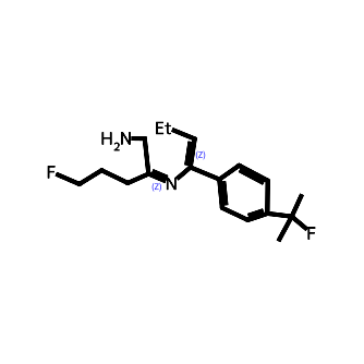 CC/C=C(\N=C(/CN)CCCF)c1ccc(C(C)(C)F)cc1